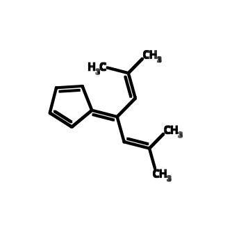 CC(C)=CC(C=C(C)C)=C1C=CC=C1